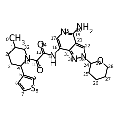 CC1CCC(c2ccsc2)N(C(=O)C(=O)Nc2cnc(N)c3cn(C4CCCCO4)nc23)C1